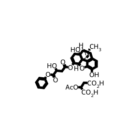 CC(=O)OC(CC(=O)O)C(=O)O.CN1CC[C@]23c4c5ccc(O)c4O[C@H]2C(OC(=O)CC(O)C(=O)Oc2ccccc2)=CC[C@@]3(O)[C@H]1C5